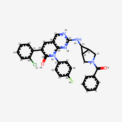 O=C(c1ccccc1)N1CC2C(C1)C2Nc1ncc2cc(-c3ccccc3Cl)c(=O)n(-c3ccc(F)cc3)c2n1